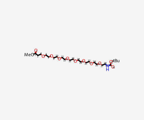 COC(=O)CCOCCOCCOCCOCCOCCOCCOCCOCCNC(=O)OC(C)(C)C